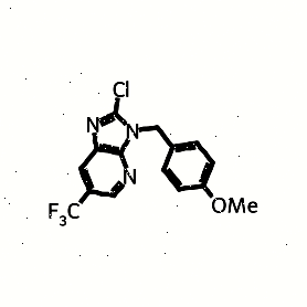 COc1ccc(Cn2c(Cl)nc3cc(C(F)(F)F)cnc32)cc1